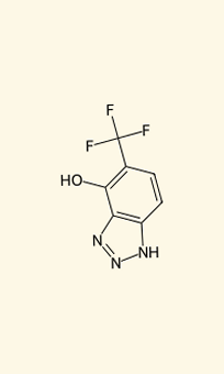 Oc1c(C(F)(F)F)ccc2[nH]nnc12